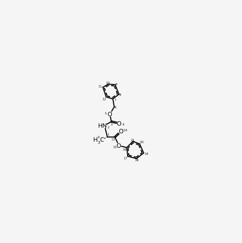 C[C@H](NC(=O)OCc1ccccc1)C(=O)Oc1ccccc1